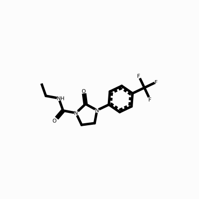 CCNC(=O)N1CCN(c2ccc(C(F)(F)F)cc2)C1=O